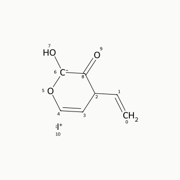 C=CC1C=CO[C-](O)C1=O.[I+]